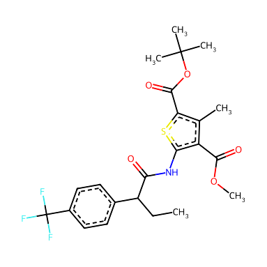 CCC(C(=O)Nc1sc(C(=O)OC(C)(C)C)c(C)c1C(=O)OC)c1ccc(C(F)(F)F)cc1